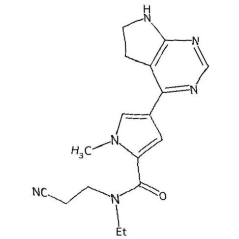 CCN(CCC#N)C(=O)c1cc(-c2ncnc3c2CCN3)cn1C